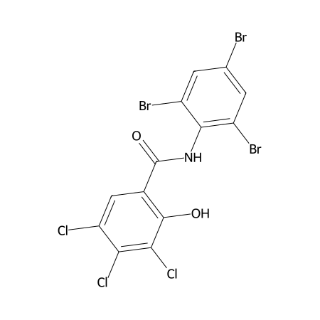 O=C(Nc1c(Br)cc(Br)cc1Br)c1cc(Cl)c(Cl)c(Cl)c1O